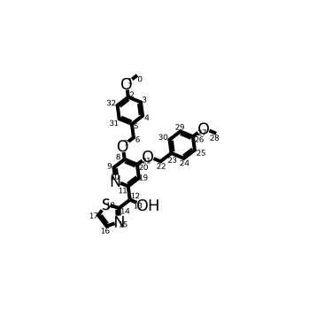 COc1ccc(COc2cnc(C(O)c3nccs3)cc2OCc2ccc(OC)cc2)cc1